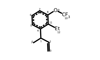 [CH2]C(C=C)c1cccc(OC(F)(F)F)c1CC